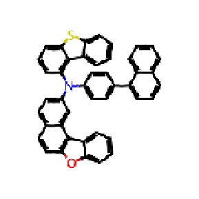 c1ccc2c(-c3ccc(N(c4ccc5ccc6oc7ccccc7c6c5c4)c4cccc5sc6ccccc6c45)cc3)cccc2c1